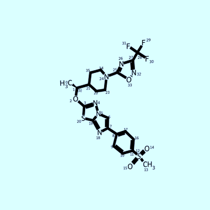 C[C@H](Oc1nn2cc(-c3ccc(S(C)(=O)=O)cc3)nc2s1)C1CCN(c2nc(C(F)(F)F)no2)CC1